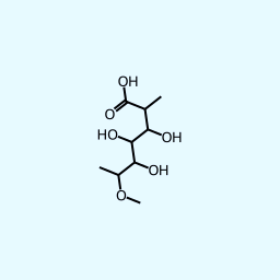 COC(C)C(O)C(O)C(O)C(C)C(=O)O